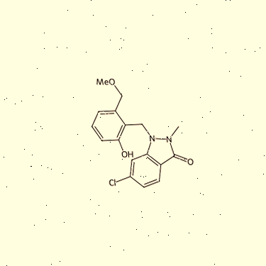 COCc1cccc(O)c1Cn1c2cc(Cl)ccc2c(=O)n1C